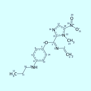 C=CN=C(Oc1ccc(NCCC)cc1)c1ncc([N+](=O)[O-])n1C